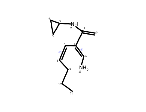 C=C(NC1CC1)C(/C=C\CCC)=C/N